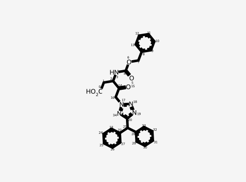 O=C(O)CC(NC(=O)OCc1ccccc1)C(=O)Cn1nnc(C(c2ccccc2)c2ccccc2)n1